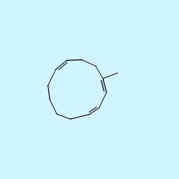 O=CC1=CC=CCCCCC=CCC1